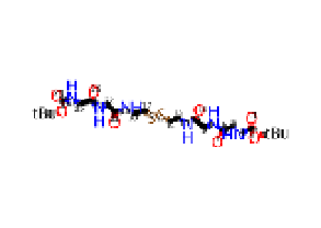 CC(C)(C)OC(=O)NCC(=O)NCC(=O)NCCSSCCNC(=O)CNC(=O)CNC(=O)OC(C)(C)C